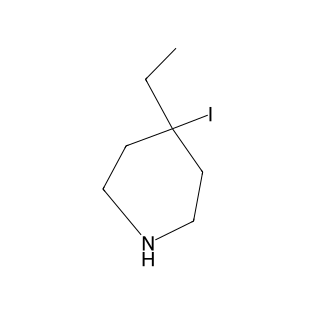 CCC1(I)CCNCC1